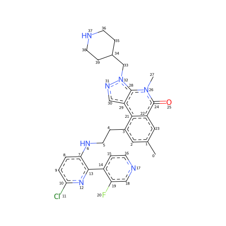 Cc1cc(CCNc2ccc(Cl)nc2-c2ccncc2F)c2c(c1)c(=O)n(C)c1c2cnn1CC1CCNCC1